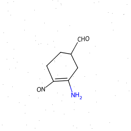 NC1=C(N=O)CCC(C=O)C1